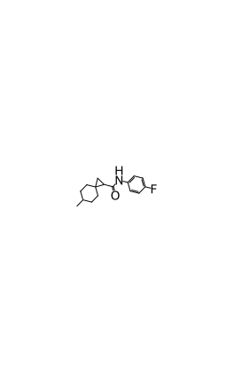 CC1CCC2(CC1)CC2C(=O)Nc1ccc(F)cc1